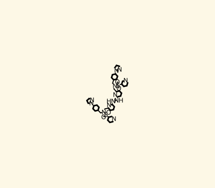 O=S(=O)(c1cccnc1)N(Cc1ccc(-n2cccn2)cc1)Cc1cccc(NNc2cccc(CN(Cc3ccc(-n4cccn4)cc3)S(=O)(=O)c3cccnc3)n2)n1